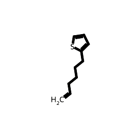 C=CCCCCc1cccs1